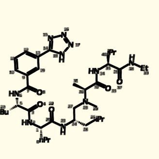 CCC[C@H](NC(=O)[C@@H](NC(=O)c1cccc(-c2nnn[nH]2)c1)[C@@H](C)CC)C(=O)N[C@@H](CC(C)C)CN(C)[C@@H](C)C(=O)N[C@H](C(=O)NCC)C(C)C